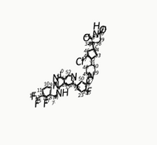 Cc1nnc(N[C@H](C)c2cccc(C(F)F)c2F)c2cc(-c3ccc(F)c(CN4CCC(c5ccc([C@@]6(C)CCC(=O)NC6=O)cc5Cl)CC4)c3)ncc12